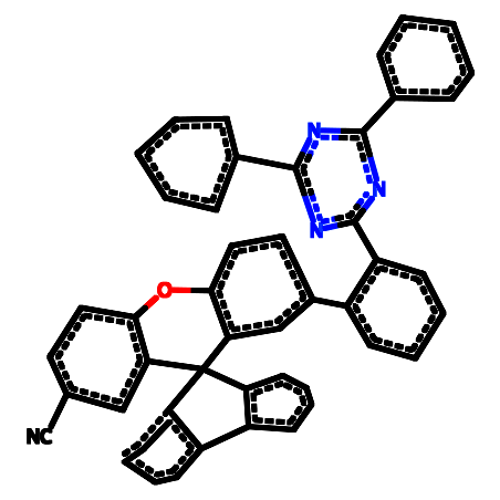 N#Cc1ccc2c(c1)C1(c3cc(-c4ccccc4-c4nc(-c5ccccc5)nc(-c5ccccc5)n4)ccc3O2)c2ccccc2-c2ccccc21